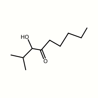 CCCCCC(=O)C(O)[C](C)C